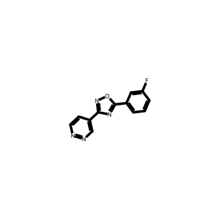 Fc1cccc(-c2nc(-c3ccnnc3)no2)c1